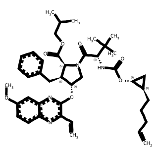 C=CCCC[C@@H]1C[C@H]1OC(=O)N[C@H](C(=O)N1C[C@H](Oc2nc3cc(OC)ccc3nc2C=C)[C@@H](Cc2ccccc2)[C@H]1C(=O)OCC(C)C)C(C)(C)C